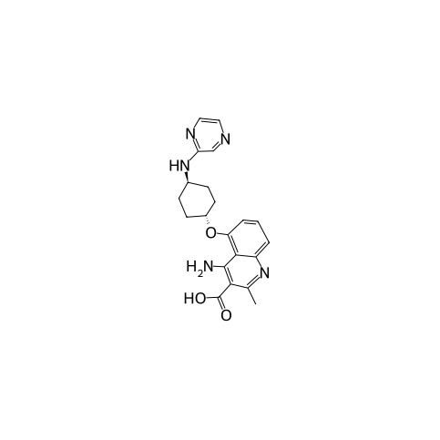 Cc1nc2cccc(O[C@H]3CC[C@H](Nc4cnccn4)CC3)c2c(N)c1C(=O)O